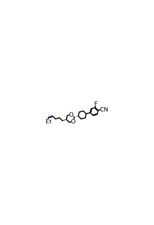 CC/C=C\CCC[C@H]1CO[C@H](C2CCC(c3ccc(C#N)c(F)c3)CC2)OC1